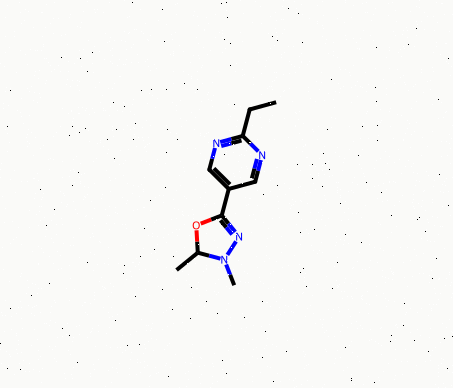 CCc1ncc(C2=NN(C)C(C)O2)cn1